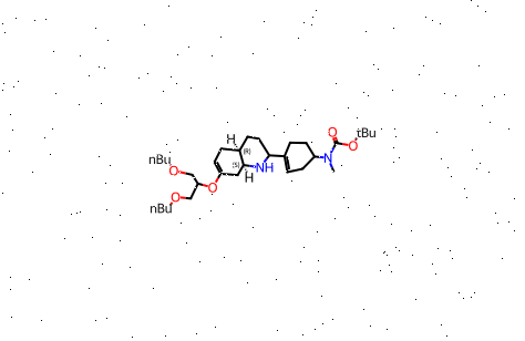 CCCCOCC(COCCCC)OC1=CC[C@H]2CCC(C3=CCC(N(C)C(=O)OC(C)(C)C)CC3)N[C@H]2C1